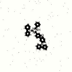 c1ccc(C2N=C(n3c4ccccc4c4ccccc43)N=C(c3ccc4c(c3)oc3ccc(-n5c6ccccc6c6ccccc65)cc34)N2)cc1